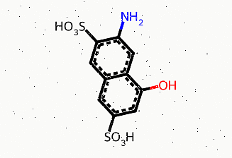 Nc1[c]c2c(O)[c]c(S(=O)(=O)O)cc2cc1S(=O)(=O)O